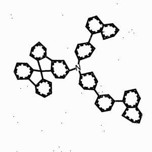 c1cc(-c2ccc(N(c3ccc(-c4cccc5ccccc45)cc3)c3ccc4c(c3)-c3ccccc3C43c4ccccc4-c4ccccc43)cc2)cc(-c2cccc3ccccc23)c1